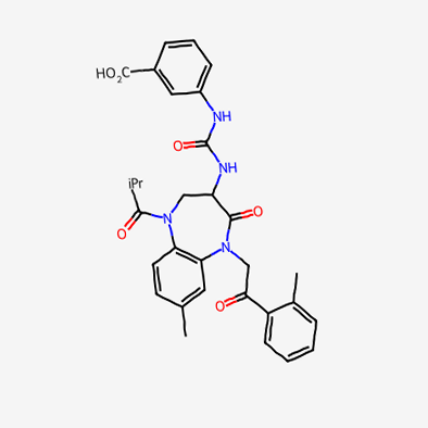 Cc1ccc2c(c1)N(CC(=O)c1ccccc1C)C(=O)C(NC(=O)Nc1cccc(C(=O)O)c1)CN2C(=O)C(C)C